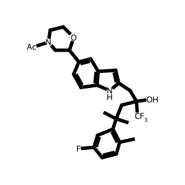 CC(=O)N1CCOC(c2ccc3[nH]c(CC(O)(CC(C)(C)c4cc(F)ccc4C)C(F)(F)F)cc3c2)C1